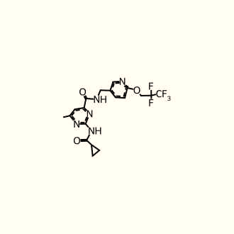 Cc1cc(C(=O)NCc2ccc(OCC(F)(F)C(F)(F)F)nc2)nc(NC(=O)C2CC2)n1